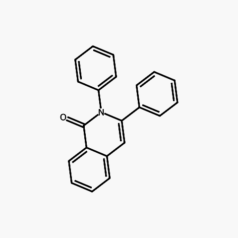 O=c1c2ccccc2cc(-c2ccccc2)n1-c1ccccc1